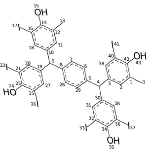 Cc1cc(C(c2ccc(C(c3cc(C)c(O)c(I)c3)c3cc(I)c(O)c(I)c3)cc2)c2cc(I)c(O)c(I)c2)cc(I)c1O